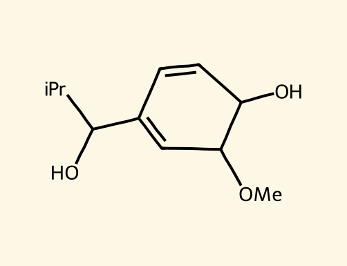 COC1C=C(C(O)C(C)C)C=CC1O